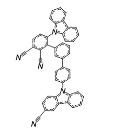 N#Cc1ccc2c(c1)c1ccccc1n2-c1ccc(-c2cccc(-c3c(-n4c5ccccc5c5ccccc54)ccc(C#N)c3C#N)c2)cc1